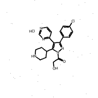 Cl.O=C(CO)n1nc(-c2ccc(Cl)cc2)c(-c2ccncn2)c1C1CCNCC1